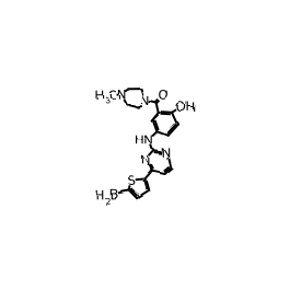 Bc1ccc(-c2ccnc(Nc3ccc(O)c(C(=O)N4CCN(C)CC4)c3)n2)s1